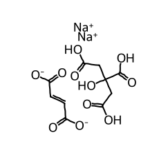 O=C(O)CC(O)(CC(=O)O)C(=O)O.O=C([O-])C=CC(=O)[O-].[Na+].[Na+]